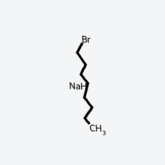 CCCCCCCCBr.[NaH]